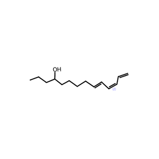 C=C/C=C\C=CCCCCC(O)CCC